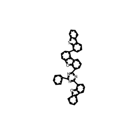 c1ccc(-c2nc(-c3cccc4c3oc3ccccc34)nc(-c3cccc4c3oc3cccc(-c5cccc6c5sc5ccccc56)c34)n2)cc1